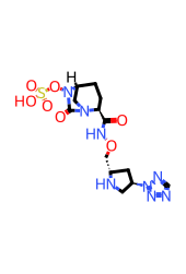 O=C(NOC[C@@H]1C[C@@H](n2ncnn2)CN1)[C@@H]1CC[C@@H]2CN1C(=O)N2OS(=O)(=O)O